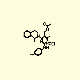 CC(=O)OCc1c(C)nc(Nc2ccc(F)cc2)nc1N1CCc2ccccc2C1C.Cl.Cl